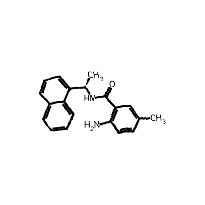 Cc1ccc(N)c(C(=O)N[C@H](C)c2cccc3ccccc23)c1